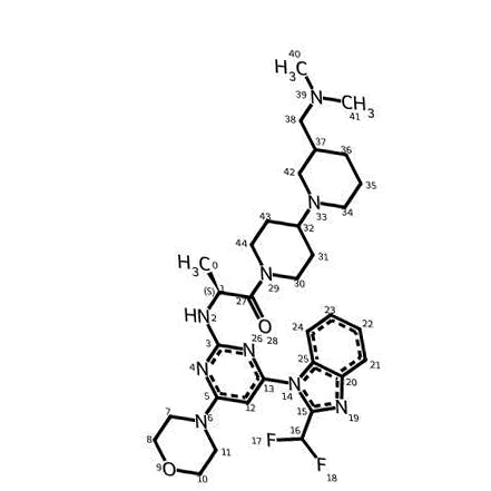 C[C@H](Nc1nc(N2CCOCC2)cc(-n2c(C(F)F)nc3ccccc32)n1)C(=O)N1CCC(N2CCCC(CN(C)C)C2)CC1